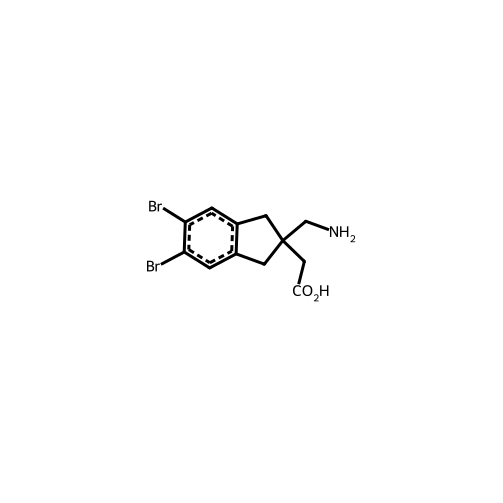 NCC1(CC(=O)O)Cc2cc(Br)c(Br)cc2C1